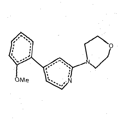 COc1ccccc1-c1ccnc(N2CCOCC2)c1